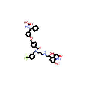 O=C(O)N[C@@H](c1ccccc1)c1cccc(OCc2ccc(C(=O)N(CCCNCC(O)c3ccc(O)c4[nH]c(=O)ccc34)Cc3cccc(C(F)(F)F)c3)cc2)c1